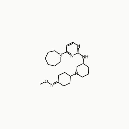 CON=C1CCC(N2CCCC(Nc3nccc(N4CCCCCC4)n3)C2)CC1